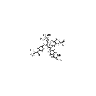 CN(C)C(=O)c1ccc(CNC(=O)[C@H](Cc2ccc([N+](=O)[O-])cc2)NC(=O)c2ccc(NC(=N)N)cc2)cc1.CS(=O)(=O)O